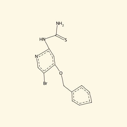 NC(=S)Nc1cc(OCc2ccccc2)c(Br)cn1